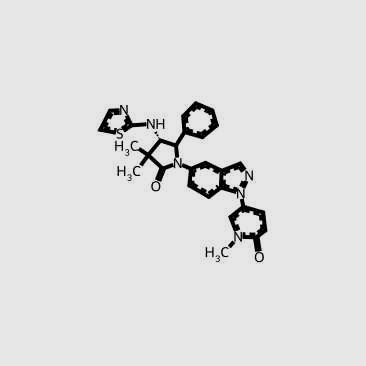 Cn1cc(-n2ncc3cc(N4C(=O)C(C)(C)[C@H](Nc5nccs5)C4c4ccccc4)ccc32)ccc1=O